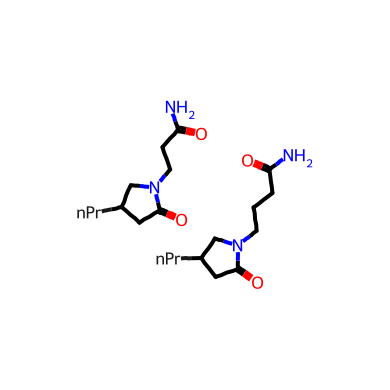 CCCC1CC(=O)N(CCC(N)=O)C1.CCCC1CC(=O)N(CCCC(N)=O)C1